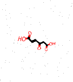 O=C(O)C=CC(=O)CC(=O)O